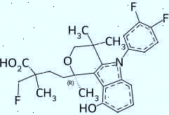 CC(CF)(CC[C@@]1(C)OCC(C)(C)c2c1c1c(O)cccc1n2-c1ccc(F)c(F)c1)C(=O)O